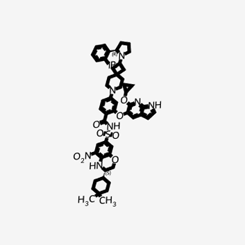 CC(C)c1ccccc1[C@H]1CCCN1C1CC2(CCN(c3ccc(C(=O)NS(=O)(=O)c4cc5c(c([N+](=O)[O-])c4)N[C@@H](C4CCC(C)(C)CC4)CO5)c(Oc4cc5cc[nH]c5nc4OC4CC4)c3)CC2)C1